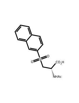 CC(=O)N[C@H](CS(=O)(=O)c1ccc2ccccc2c1)C(=O)O